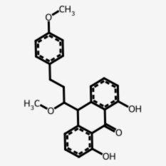 COc1ccc(CCC(OC)C2c3cccc(O)c3C(=O)c3c(O)cccc32)cc1